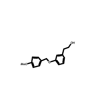 COc1ccc(COc2cccc(CCO)c2)cc1